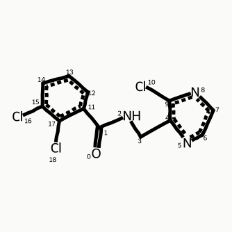 O=C(NCc1nccnc1Cl)c1cccc(Cl)c1Cl